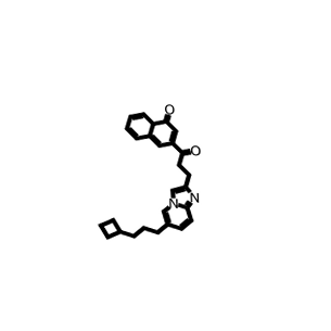 O=C(CCc1cn2cc(CCCC3CCC3)ccc2n1)C1=CC(=O)C2C=CC=CC2=C1